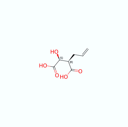 C=CC[C@@H](C(=O)O)[C@H](O)C(=O)O